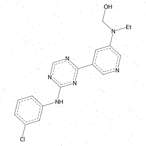 CCN(CO)c1cncc(-c2ncnc(Nc3cccc(Cl)c3)n2)c1